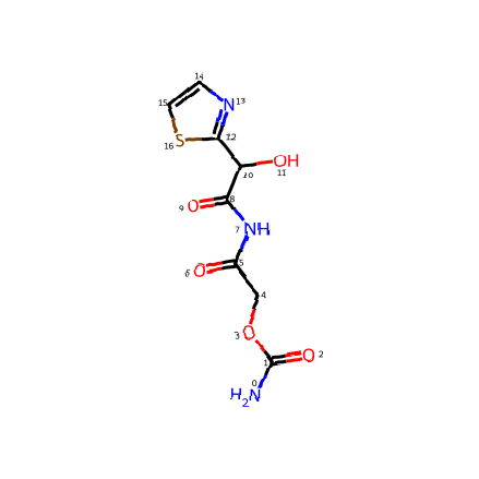 NC(=O)OCC(=O)NC(=O)C(O)c1nccs1